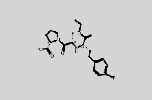 CCOC(=O)[C@H](CCc1ccc(F)cc1)N[C@@H](C)C(=O)N1CCC[C@H]1C(=O)O